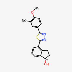 CC(C)Oc1ccc(-c2nnc(-c3cccc4c3CC[C@H]4O)s2)cc1C#N